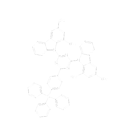 CC(C)(C)c1cc(C(C)(C)C)c2c(c1)c1ccccc1n2-c1nc(-c2ccc([Si](c3ccccc3)(c3ccccc3)c3ccccc3)cc2)nc(-n2c3ccccc3c3cc(C(C)(C)C)cc(C(C)(C)C)c32)n1